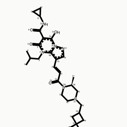 CC(C)Cn1c(=O)c(C(=O)NC2CC2)c(O)n2ncc(/C=C/C(=O)N3CCN(CC4CC(F)(F)C4)C[C@@H]3C)c12